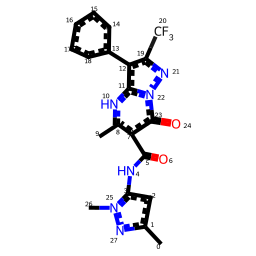 Cc1cc(NC(=O)c2c(C)[nH]c3c(-c4ccccc4)c(C(F)(F)F)nn3c2=O)n(C)n1